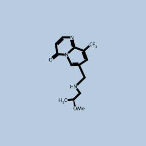 CO[C@@H](C)CNCc1cc(C(F)(F)F)c2nccc(=O)n2c1